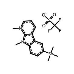 Cn1c2cc[c]([Sn]([CH3])([CH3])[CH3])cc2c2ccc[n+](C)c21.O=S(=O)([O-])C(F)(F)F